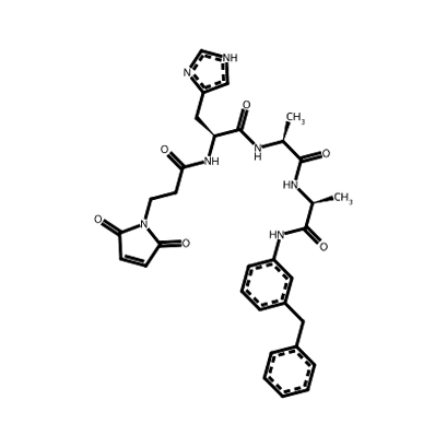 C[C@H](NC(=O)[C@H](C)NC(=O)[C@H](Cc1c[nH]cn1)NC(=O)CCN1C(=O)C=CC1=O)C(=O)Nc1cccc(Cc2ccccc2)c1